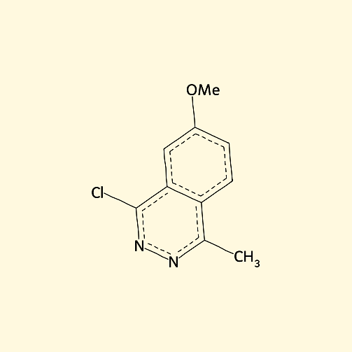 COc1ccc2c(C)nnc(Cl)c2c1